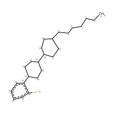 CCCCCCCC1CCC(C2CCC(c3ccccc3F)CC2)CC1